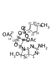 C=C1Sc2cnc(N)nc2N1[C@@H]1O[C@H](COC(C)=O)[C@H](OS(=O)(=O)c2ccc(C)cc2)[C@H]1OC(C)=O